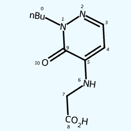 CCCCn1nccc(NCC(=O)O)c1=O